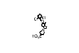 Cc1c(OCc2c(Cl)cccc2Cl)ccc2c1CCC2N1CCC(C(=O)O)CC1